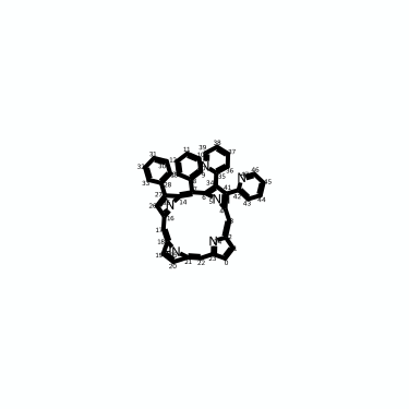 C1=Cc2cc3[nH]c(c(-c4ccccc4)c4nc(cc5ccc(cc1n2)[nH]5)C=C4c1ccccc1)c(-c1ccccn1)c3-c1ccccn1